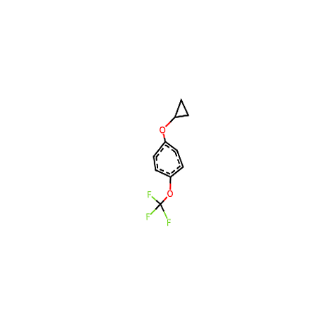 FC(F)(F)Oc1ccc(OC2CC2)cc1